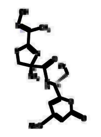 COc1cc([C@@H](CC(C)C)NC(=O)[C@]2(N)CSC(/C(C)=N/O)=N2)oc(=O)c1